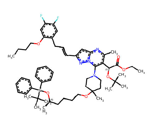 CCCCOc1cc(F)c(F)cc1CC=Cc1cc2nc(C)c([C@H](OC(C)(C)C)C(=O)OCC)c(N3CCC(C)(OCCCC[C@@H](C)O[Si](c4ccccc4)(c4ccccc4)C(C)(C)C)CC3)n2n1